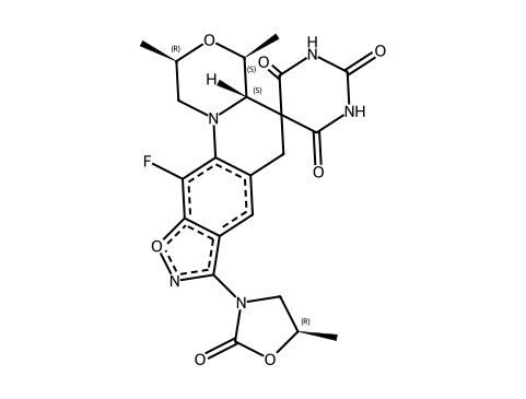 C[C@@H]1CN(c2noc3c(F)c4c(cc23)CC2(C(=O)NC(=O)NC2=O)[C@H]2[C@H](C)O[C@H](C)CN42)C(=O)O1